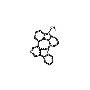 Cn1c2cccc3c4cncc5c6ccccc6n(c6cccc1c6c32)c45